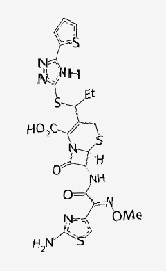 CCC(Sc1nnc(-c2cccs2)[nH]1)C1=C(C(=O)O)N2C(=O)[C@@H](NC(=O)C(=NOC)c3csc(N)n3)[C@@H]2SC1